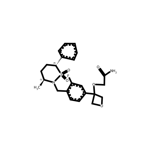 C[C@H]1CC[C@H](c2ccccc2)S(=O)(=O)N1Cc1ccc(C2(OCC(N)=O)COC2)cc1F